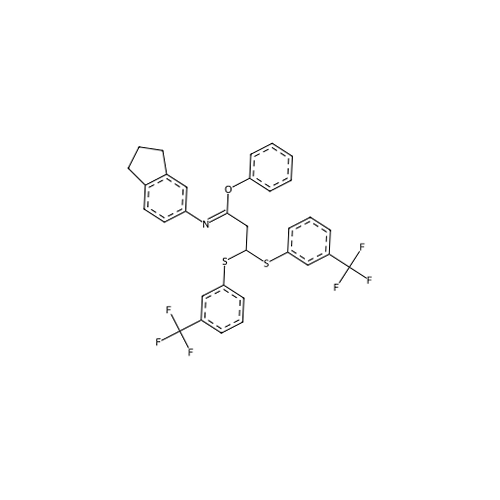 FC(F)(F)c1cccc(SC(CC(=Nc2ccc3c(c2)CCC3)Oc2ccccc2)Sc2cccc(C(F)(F)F)c2)c1